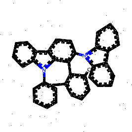 N#Cc1cccc(C#N)c1-c1c(-n2c3ccccc3c3ccccc32)ccc2c3ccccc3n(-c3ccccc3)c12